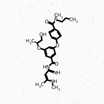 CCCN(C)C(=O)c1ccc(Oc2cc(O[C@@H](C)CO)cc(C(=O)NC(=N)/C=C(/C)NC)c2)cc1